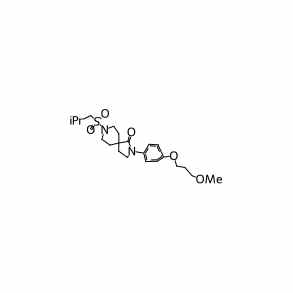 COCCCOc1ccc(N2CCC3(CCN(S(=O)(=O)CC(C)C)CC3)C2=O)cc1